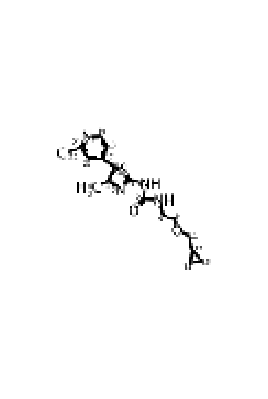 Cc1nc(NC(=O)NCCOCC2CC2)sc1-c1ccnc(Cl)c1